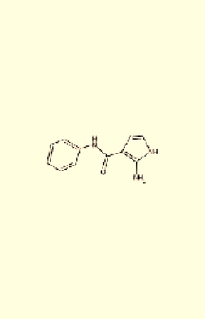 Nc1[nH]ccc1C(=O)Nc1ccccc1